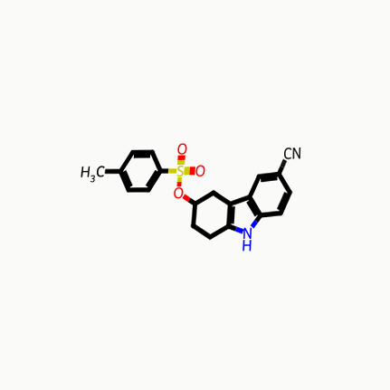 Cc1ccc(S(=O)(=O)OC2CCc3[nH]c4ccc(C#N)cc4c3C2)cc1